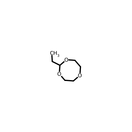 CCC1OCCOCCO1